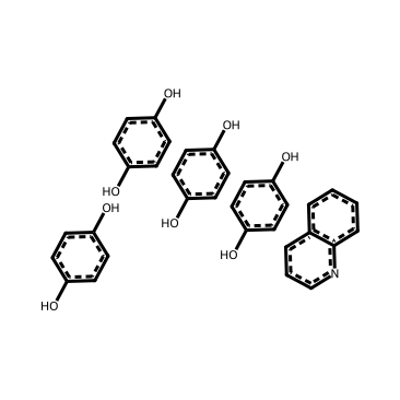 Oc1ccc(O)cc1.Oc1ccc(O)cc1.Oc1ccc(O)cc1.Oc1ccc(O)cc1.c1ccc2ncccc2c1